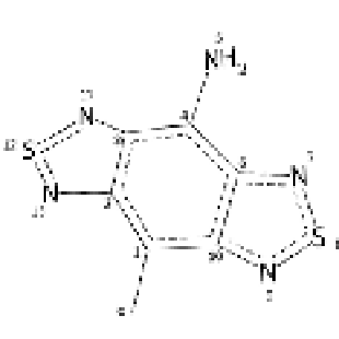 Cc1c2c(c(N)c3nsnc13)N=S=N2